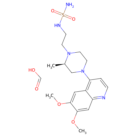 COc1cc2nccc(N3CCN(CCNS(N)(=O)=O)[C@H](C)C3)c2cc1OC.O=CO